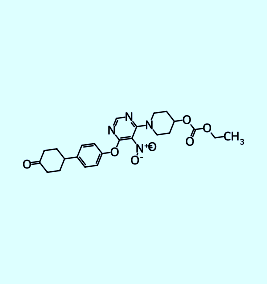 CCOC(=O)OC1CCN(c2ncnc(Oc3ccc(C4CCC(=O)CC4)cc3)c2[N+](=O)[O-])CC1